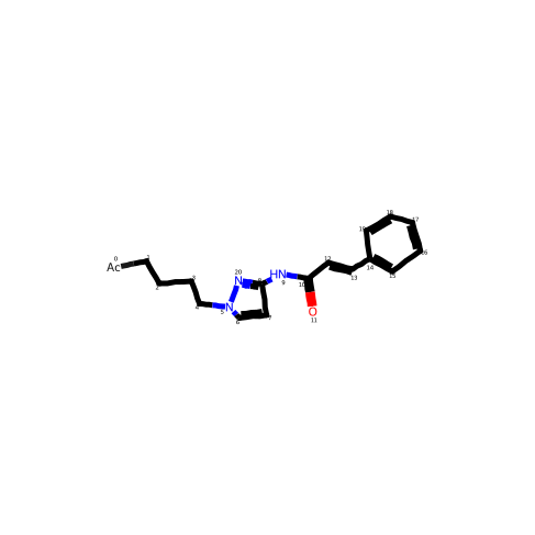 CC(=O)CCCCn1ccc(NC(=O)C=Cc2ccccc2)n1